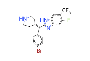 Fc1cc2nc(C(=C3CCNCC3)c3ccc(Br)cc3)[nH]c2cc1C(F)(F)F